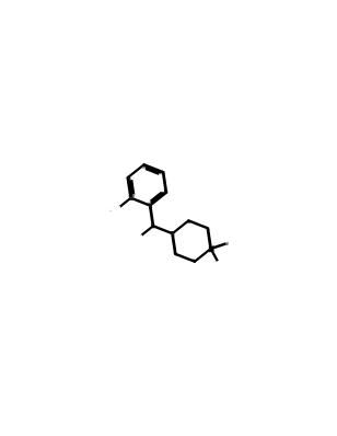 O=C(O)C(c1ccccc1O)C1CCC(F)(F)CC1